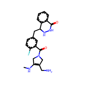 CNC1=C(CN)CN(C(=O)c2cc(CC3NNC(=O)c4ccccc43)ccc2F)C1